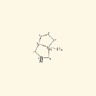 C1C[C]2CNC[C@@H]2C1